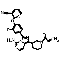 C=CC(=O)N1CCCC(c2nc(-c3ccc(OC4NC=CC=C4C#N)c(F)c3)n3c(N)nccc23)C1